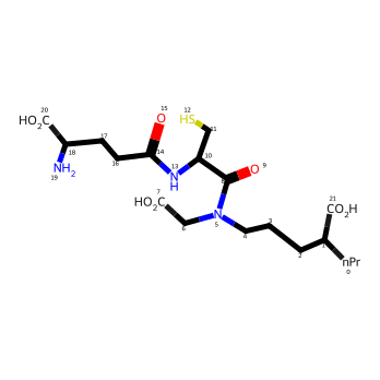 CCCC(CCCN(CC(=O)O)C(=O)C(CS)NC(=O)CCC(N)C(=O)O)C(=O)O